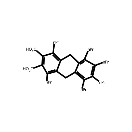 CCCc1c(CCC)c(CCC)c2c(c1CCC)Cc1c(c(CCC)c(C(=O)O)c(C(=O)O)c1CCC)C2